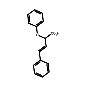 O=C(O)C(C=Cc1ccccc1)Oc1ccccc1